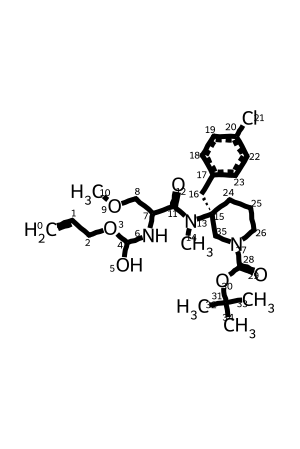 C=CCOC(O)NC(COC)C(=O)N(C)[C@@]1(Cc2ccc(Cl)cc2)CCCN(C(=O)OC(C)(C)C)C1